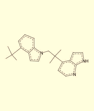 CC(C)(C)c1cccc2c1ccn2CC(C)(C)c1ccnc2[nH]ccc12